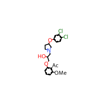 COc1cccc(OCC(O)CN2CCC(Oc3ccc(Cl)c(Cl)c3)C2)c1C(C)=O